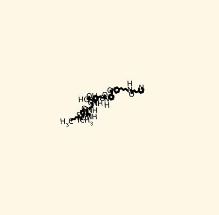 CCCCC(I)(CC)SC1CC(=O)N(C2(C(=O)NCCC(=O)Nc3cc(COC(=O)Nc4cccc(C(=O)N5CCC(CCCCNC(=O)/C=C/c6cccnc6)CC5)c4)ccc3OC(O)O)CNC2)C1=O